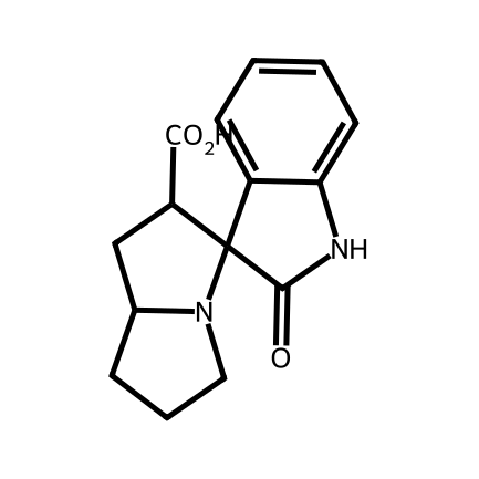 O=C(O)C1CC2CCCN2C12C(=O)Nc1ccccc12